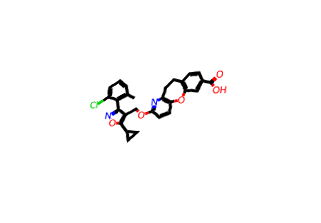 Cc1cccc(Cl)c1-c1noc(C2CC2)c1COc1ccc2c(n1)CCc1ccc(C(=O)O)cc1O2